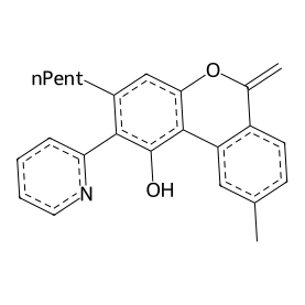 C=C1Oc2cc(CCCCC)c(-c3ccccn3)c(O)c2-c2cc(C)ccc21